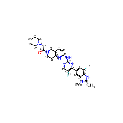 Cc1nc2c(F)cc(-c3nc(Nc4ccc5c(n4)CCN(C(=O)CN4CCCCC4)C5)ncc3F)cc2n1C(C)C